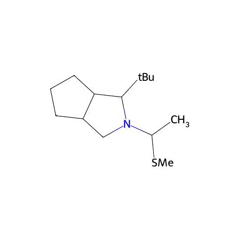 CSC(C)N1CC2CCCC2C1C(C)(C)C